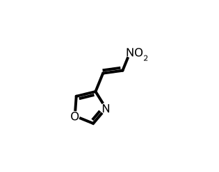 O=[N+]([O-])/C=C/c1cocn1